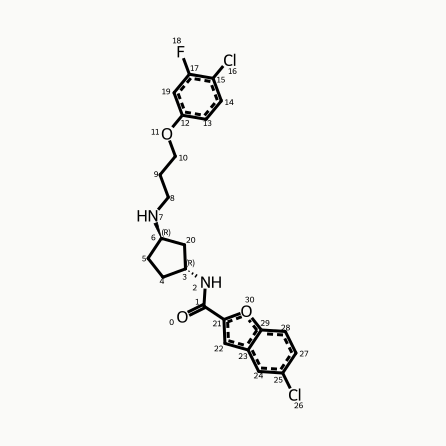 O=C(N[C@@H]1CC[C@@H](NCCCOc2ccc(Cl)c(F)c2)C1)c1cc2cc(Cl)ccc2o1